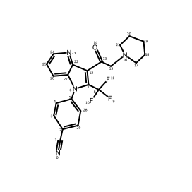 N#Cc1ccc(-n2c(C(F)(F)F)c(C(=O)CN3CCCCC3)c3ncccc32)cc1